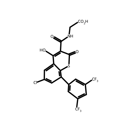 O=C(O)CNC(=O)c1c(O)c2cc(Cl)cc(-c3cc(C(F)(F)F)cc(C(F)(F)F)c3)c2sc1=O